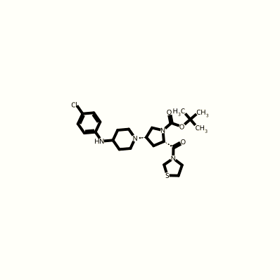 CC(C)(C)OC(=O)N1C[C@@H](N2CCC(Nc3ccc(Cl)cc3)CC2)C[C@H]1C(=O)N1CCSC1